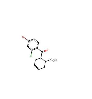 CCOC(=O)C1CC=CCC1C(=O)c1ccc(Br)cc1Cl